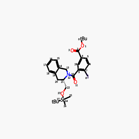 CC(C)(C)OC(=O)c1ccc(I)c(C(=O)N2Cc3ccccc3C[C@H]2CO[Si](C)(C)C(C)(C)C)c1